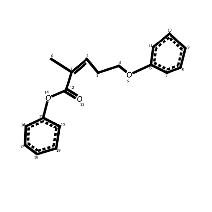 CC(=CCCOc1ccccc1)C(=O)Oc1ccccc1